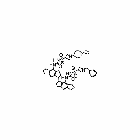 CCN1CCC(N2CC(S(=O)(=O)NC(=O)Nc3c4c(cc5c3CCC5C3CCc5cc6c(c(NC(=O)NS(=O)(=O)C7CN(Cc8ccccc8)C7)c53)CCC6)CCC4)C2)CC1